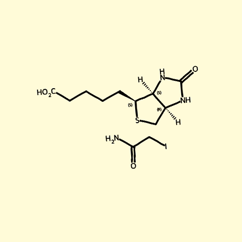 NC(=O)CI.O=C(O)CCCC[C@@H]1SC[C@@H]2NC(=O)N[C@@H]21